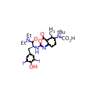 CCN(CC)C(=O)[C@H](Cc1cc(I)c(O)c(I)c1)Nc1nc2ccc(N(C(=O)O)C(C)(C)C)c(C)c2c(=O)o1